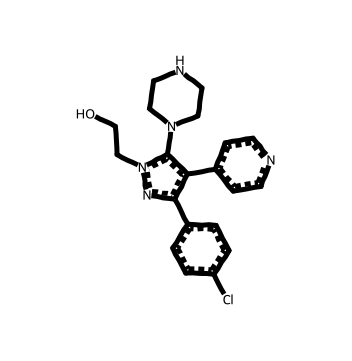 OCCn1nc(-c2ccc(Cl)cc2)c(-c2ccncc2)c1N1CCNCC1